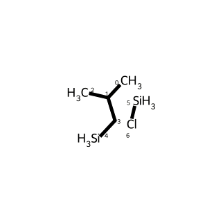 CC(C)C[SiH3].[SiH3]Cl